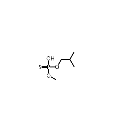 COP(O)(=S)OCC(C)C